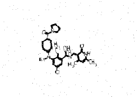 CCN(c1cc(Cl)cc(C(O)NCc2c(C)cc(C)[nH]c2=O)c1C)[C@H]1CC[C@@H](C(=O)N2CCCC2)CC1